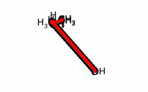 CC(C)(C)OC(=O)[C@H](CCC(=O)NCCOCCOCCOCCOCCOCCOCCOCCOCCOCCOCCOCCOCCOCCOCCOCCOCCOCCOCCOCCOCCOCCOCCOCCOCCOCCOCCOCCOCCOCCOCCOCCOCCOCCOCCOCCOCCC(=O)O)NC(=O)CCCCCCCCCCCCC(O)OC(C)(C)C